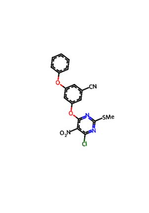 CSc1nc(Cl)c([N+](=O)[O-])c(Oc2cc(C#N)cc(Oc3ccccc3)c2)n1